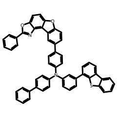 c1ccc(-c2ccc(N(c3ccc(-c4ccc5oc6ccc7oc(-c8ccccc8)nc7c6c5c4)cc3)c3cccc(-c4cccc5c4sc4ccccc45)c3)cc2)cc1